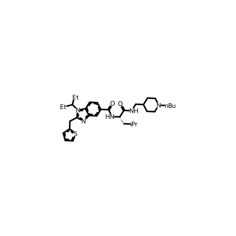 CCCCN1CCC(CNC(=O)[C@H](CC(C)C)NC(=O)c2ccc3c(c2)nc(Cc2cccs2)n3C(CC)CC)CC1